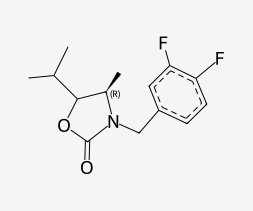 CC(C)C1OC(=O)N(Cc2ccc(F)c(F)c2)[C@@H]1C